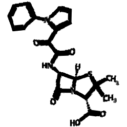 CC1(C)S[C@@H]2[C@H](NC(=O)C(=O)c3cccn3-c3ccccc3)C(=O)N2[C@H]1C(=O)O